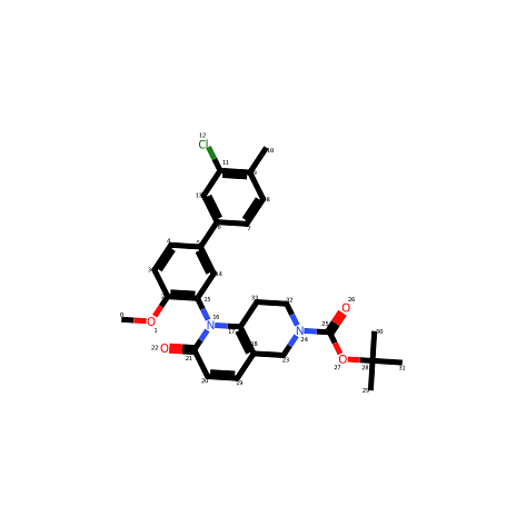 COc1ccc(-c2ccc(C)c(Cl)c2)cc1-n1c2c(ccc1=O)CN(C(=O)OC(C)(C)C)CC2